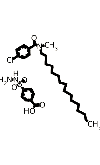 CCCCCCCCCCCCCCCCN(C)C(=O)c1ccc(Cl)cc1.NNS(=O)(=O)c1ccc(C(=O)O)cc1